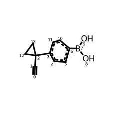 C#CC1(c2ccc(B(O)O)cc2)CC1